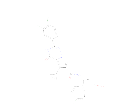 O=C(NC(CCO)c1ccc(F)cc1)c1cn2nc(-c3ccc(Cl)c(F)c3)[nH]c(=O)c2c1C1CC1